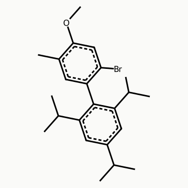 COc1cc(Br)c(-c2c(C(C)C)cc(C(C)C)cc2C(C)C)cc1C